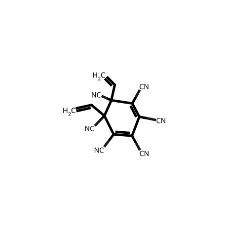 C=CC1(C#N)C(C#N)=C(C#N)C(C#N)=C(C#N)C1(C#N)C=C